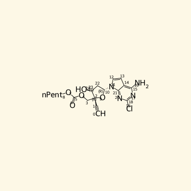 C#C[C@]1(COC(=O)OCCCCC)O[C@@H](n2ccc3c(N)nc(Cl)nc32)C[C@@H]1O